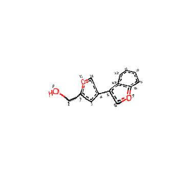 OCc1cc(-c2coc3ccccc23)co1